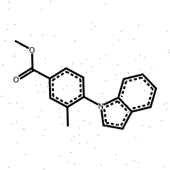 COC(=O)c1ccc(-n2ccc3ccccc32)c(C)c1